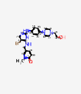 Cn1cc(CNc2nc(Nc3ccc(N4CCN(CCO)CC4)cc3)ncc2Br)ccc1=O